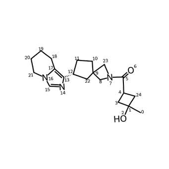 CC1(O)CC(C(=O)N2CC3(CC[C@@H](c4ncn5c4CCCC5)C3)C2)C1